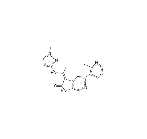 C/C(Nc1ccn(C)n1)=C1/C(=O)Nc2cnc(-c3cccnc3C)cc21